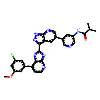 COc1cc(F)cc(-c2ccnc3[nH]c(-c4n[nH]c5ncc(-c6cncc(NC(=O)C(C)C)c6)cc45)nc23)c1